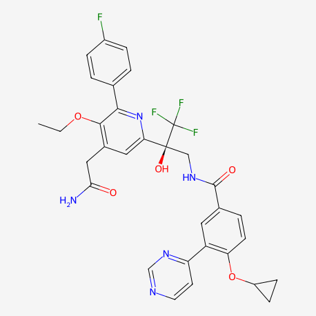 CCOc1c(CC(N)=O)cc([C@@](O)(CNC(=O)c2ccc(OC3CC3)c(-c3ccncn3)c2)C(F)(F)F)nc1-c1ccc(F)cc1